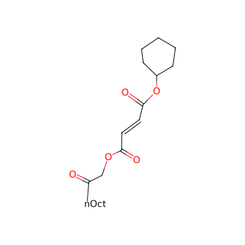 CCCCCCCCC(=O)COC(=O)/C=C/C(=O)OC1CCCCC1